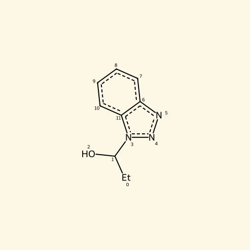 CCC(O)n1nnc2ccccc21